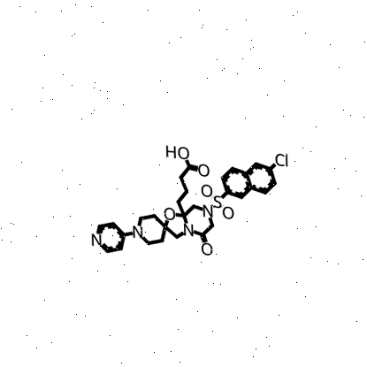 O=C(O)CCCC12CN(S(=O)(=O)c3ccc4cc(Cl)ccc4c3)CC(=O)N1CC1(CCN(c3ccncc3)CC1)O2